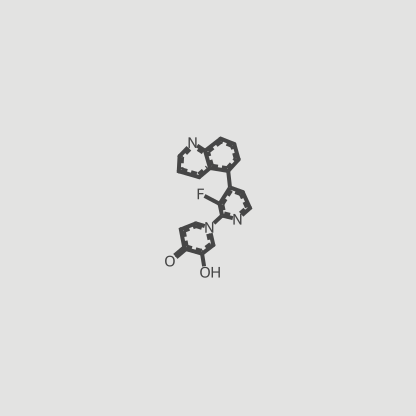 O=c1ccn(-c2nccc(-c3cccc4ncccc34)c2F)cc1O